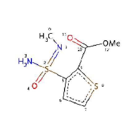 CN=S(N)(=O)c1ccsc1C(=O)OC